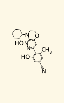 Cc1cc(C#N)cc(O)c1-c1cc2c(nn1)N([C@@H]1CCCC[C@H]1O)CCO2